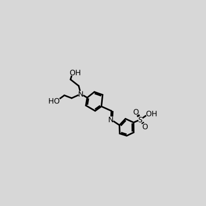 O=S(=O)(O)c1cccc(N=Cc2ccc(N(CCO)CCO)cc2)c1